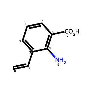 C=Cc1cccc(C(=O)O)c1N